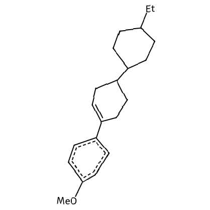 CCC1CCC(C2CC=C(c3ccc(OC)cc3)CC2)CC1